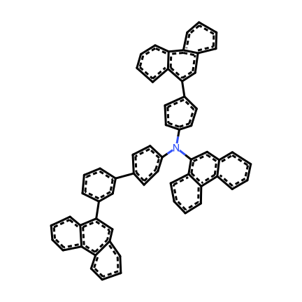 c1cc(-c2ccc(N(c3ccc(-c4cc5ccccc5c5ccccc45)cc3)c3cc4ccccc4c4ccccc34)cc2)cc(-c2cc3ccccc3c3ccccc23)c1